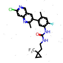 Cc1cc(F)c(NC(=O)NCCC2(C(F)(F)F)CC2)cc1-c1cc2cnc(Cl)cc2nc1C